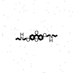 CCCNCCOc1ccc2c(=O)c3cc(OCCNCCC)ccc3oc2c1